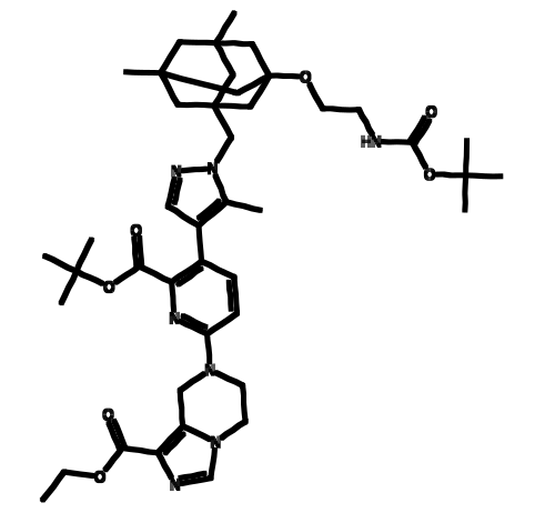 CCOC(=O)c1ncn2c1CN(c1ccc(-c3cnn(CC45CC6(C)CC(C)(C4)CC(OCCNC(=O)OC(C)(C)C)(C6)C5)c3C)c(C(=O)OC(C)(C)C)n1)CC2